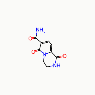 NC(=O)c1ccc2n(c1=O)CCNC2=O